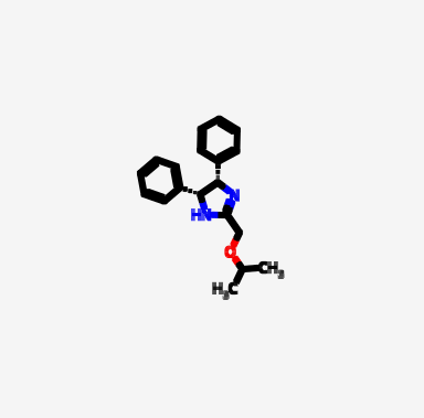 CC(C)OCC1=N[C@@H](c2ccccc2)[C@@H](c2ccccc2)N1